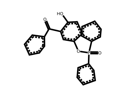 O=C(c1ccccc1)c1cc(OP(=O)(c2ccccc2)c2ccccc2)ccc1O